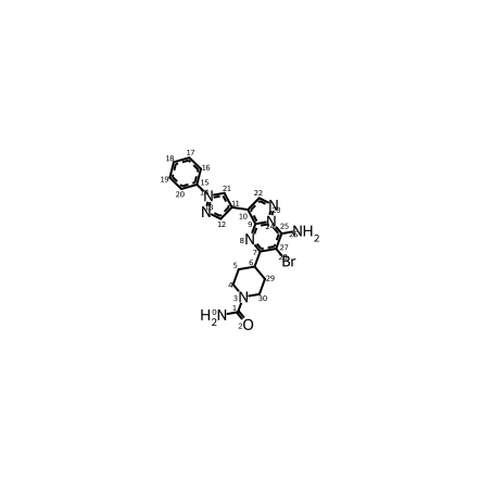 NC(=O)N1CCC(c2nc3c(-c4cnn(-c5ccccc5)c4)cnn3c(N)c2Br)CC1